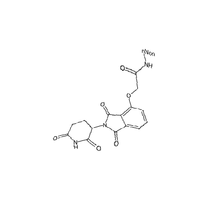 CCCCCCCCCNC(=O)COc1cccc2c1C(=O)N(C1CCC(=O)NC1=O)C2=O